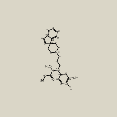 CN(C(=O)OC(C)(C)C)[C@@H](CCCN1CCC2(C=Cc3ccccc32)CC1)c1ccc(Cl)c(Cl)c1